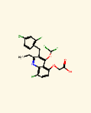 CCc1nc2c(F)ccc(OCC(=O)O)c2c(OC(F)F)c1Cc1ccc(Cl)cc1F